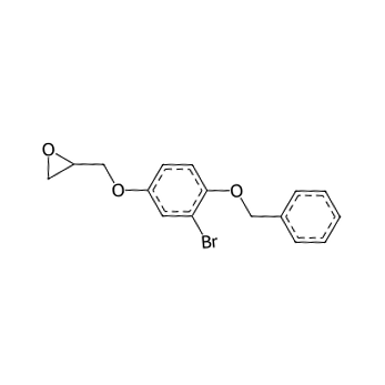 Brc1cc(OCC2CO2)ccc1OCc1ccccc1